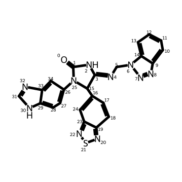 O=C1N/C(=N\Cn2nnc3ccccc32)C(c2ccc3nsnc3c2)N1c1ccc2[nH]cnc2c1